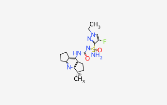 CCn1cc(F)c([S@@](N)(=O)=NC(=O)Nc2c3c(nc4c2CC[C@@H]4C)CCC3)n1